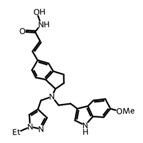 CCn1cc(CN(CCc2c[nH]c3cc(OC)ccc23)C2CCc3cc(C=CC(=O)NO)ccc32)cn1